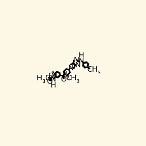 Cc1ccc(Nc2ncc3c(n2)CN([C@@H]2CCN(C(=O)c4ccnc(NS(C)(=O)=O)c4)[C@H](C)C2)C3)cc1